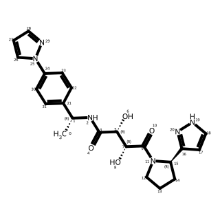 C[C@@H](NC(=O)[C@H](O)[C@@H](O)C(=O)N1CCC[C@@H]1c1cc[nH]n1)c1ccc(-n2cccn2)cc1